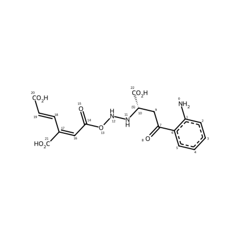 Nc1ccccc1C(=O)C[C@H](NNOC(=O)C=C(C=CC(=O)O)C(=O)O)C(=O)O